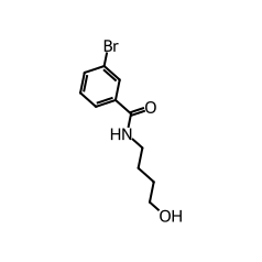 O=C(NCCCCO)c1cccc(Br)c1